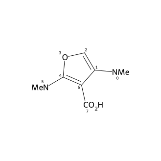 CNc1coc(NC)c1C(=O)O